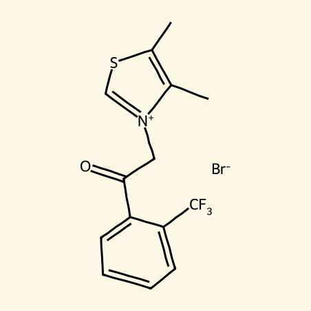 Cc1sc[n+](CC(=O)c2ccccc2C(F)(F)F)c1C.[Br-]